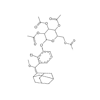 COC(=C1C2CC3CC(C2)CC1C3)c1cccc(OC2OC(COC(C)=O)C(OC(C)=O)C(OC(C)=O)C2OC(C)=O)c1Cl